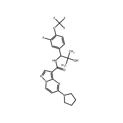 CC(C)(O)C(NC(=O)c1cnn2ccc(N3CCCC3)nc12)c1ccc(OC(F)(F)F)c(F)c1